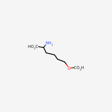 NC(CCCCOC(=O)O)C(=O)O